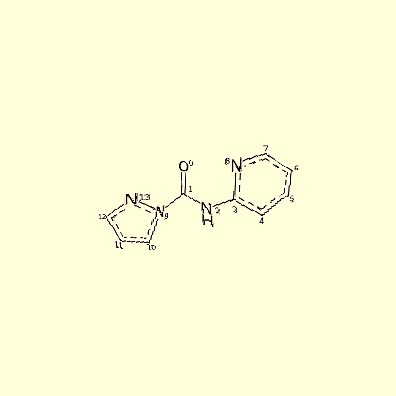 O=C(Nc1ccccn1)n1cccn1